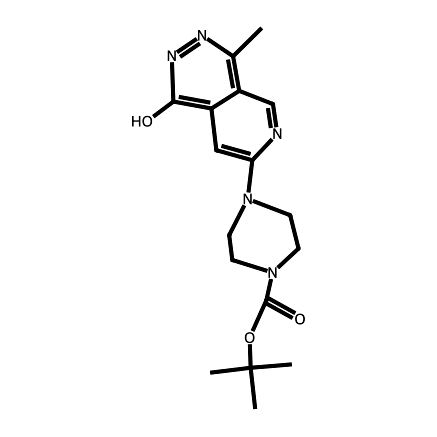 Cc1nnc(O)c2cc(N3CCN(C(=O)OC(C)(C)C)CC3)ncc12